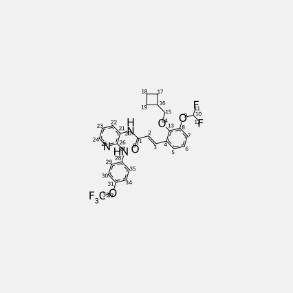 O=C(/C=C/c1cccc(OC(F)F)c1OCC1CCC1)Nc1cccnc1Nc1ccc(OC(F)(F)F)cc1